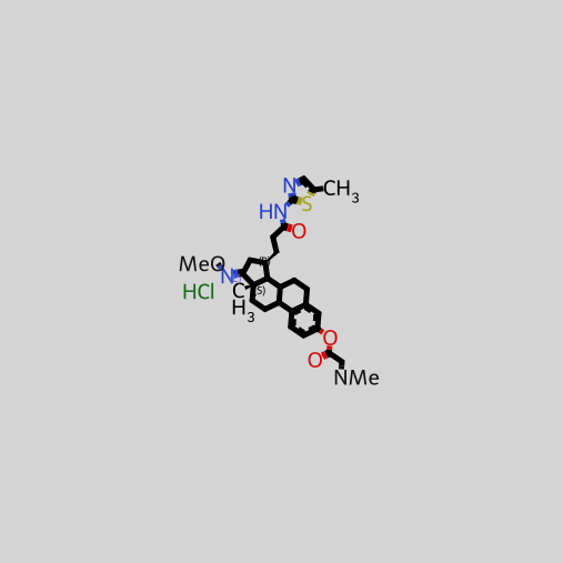 CNCC(=O)Oc1ccc2c(c1)CCC1C2CC[C@]2(C)/C(=N/OC)C[C@@H](CCC(=O)Nc3ncc(C)s3)C12.Cl